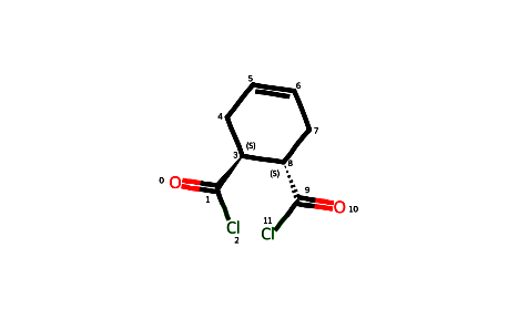 O=C(Cl)[C@H]1CC=CC[C@@H]1C(=O)Cl